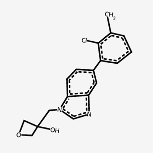 Cc1cccc(-c2ccc3c(c2)ncn3CC2(O)COC2)c1Cl